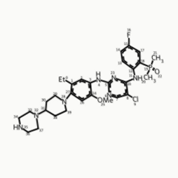 CCc1cc(Nc2ncc(Cl)c(Nc3ccc(F)cc3P(C)(C)=O)n2)c(OC)cc1N1CCC(N2CCNCC2)CC1